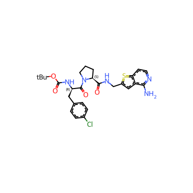 CC(C)(C)OC(=O)N[C@H](Cc1ccc(Cl)cc1)C(=O)N1CCC[C@H]1C(=O)NCc1cc2c(N)nccc2s1